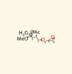 CO[Si](C)(CCCOCC1CO1)OC(C)=O